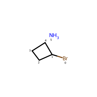 BrC1CCC1.N